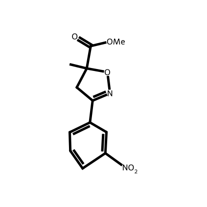 COC(=O)C1(C)CC(c2cccc([N+](=O)[O-])c2)=NO1